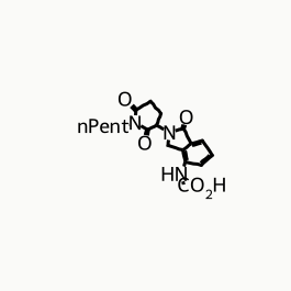 CCCCCN1C(=O)CCC(N2Cc3c(NC(=O)O)cccc3C2=O)C1=O